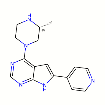 C[C@@H]1CN(c2ncnc3[nH]c(-c4ccncc4)cc23)CCN1